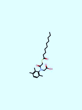 CCCCCCCCCC(=O)SCC(=O)N(CC(=O)O)c1c(C)ccc(C)c1C